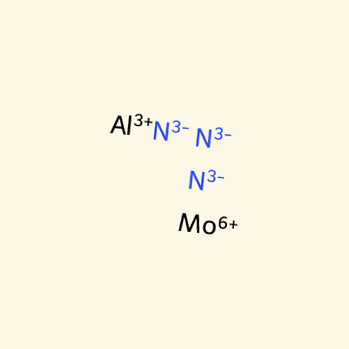 [Al+3].[Mo+6].[N-3].[N-3].[N-3]